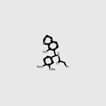 COc1ccc(C(NC(=O)CC(C)C)c2ccc3cccnc3c2O)cc1OC